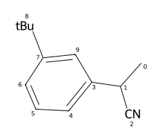 CC(C#N)c1cccc(C(C)(C)C)c1